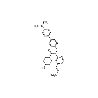 CN(C)c1ccc(-c2ccc(CN(C(=O)C3CCC(O)CC3)c3cc(/C=C/C(=O)O)ccn3)nc2)cc1